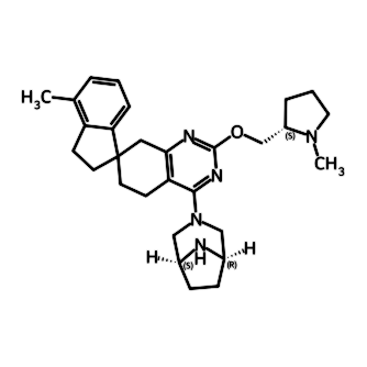 Cc1cccc2c1CCC21CCc2c(nc(OC[C@@H]3CCCN3C)nc2N2C[C@H]3CC[C@@H](C2)N3)C1